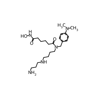 CN(C)c1ccc(CN(CCCCNCCCN)C(=O)CCCCC(=O)NO)cc1